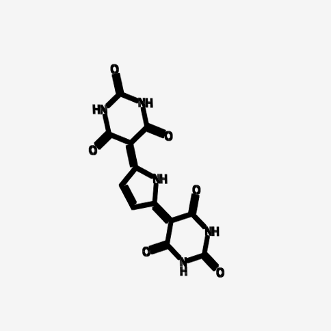 O=C1NC(=O)C(=c2ccc(=C3C(=O)NC(=O)NC3=O)[nH]2)C(=O)N1